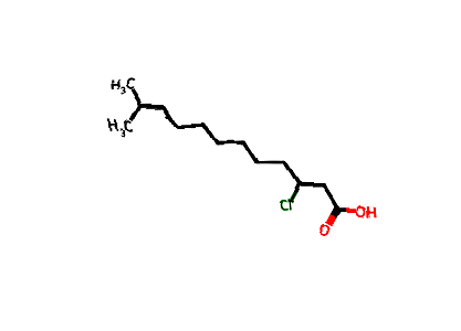 CC(C)CCCCCCCC(Cl)CC(=O)O